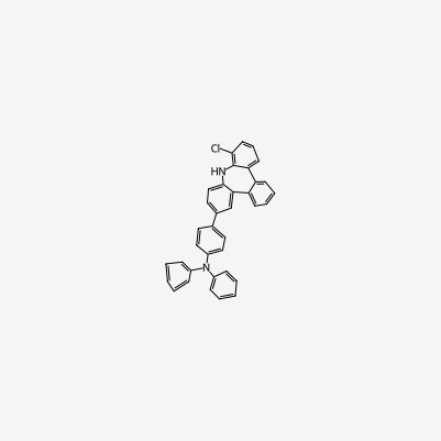 Clc1cccc2c1Nc1ccc(-c3ccc(N(c4ccccc4)c4ccccc4)cc3)cc1-c1ccccc1-2